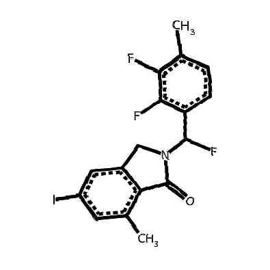 Cc1ccc(C(F)N2Cc3cc(I)cc(C)c3C2=O)c(F)c1F